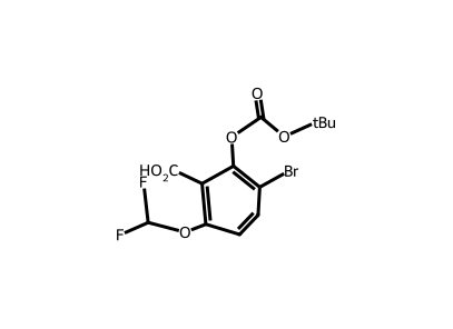 CC(C)(C)OC(=O)Oc1c(Br)ccc(OC(F)F)c1C(=O)O